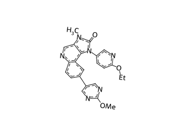 CCOc1ccc(-n2c(=O)n(C)c3cnc4ccc(-c5cnc(OC)nc5)cc4c32)cn1